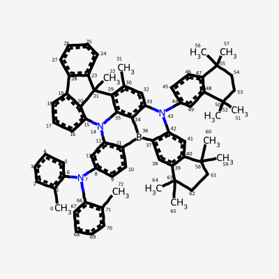 Cc1ccccc1N(c1ccc2c(c1)N1c3cccc4c3C(C)(c3ccccc3-4)c3c(C)cc4c(c31)B2c1cc2c(cc1N4c1ccc3c(c1)C(C)(C)CCC3(C)C)C(C)(C)CCC2(C)C)c1ccccc1C